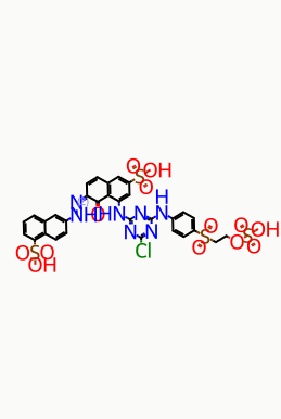 O=C1/C(=N\Nc2ccc3c(S(=O)(=O)O)cccc3c2)C=Cc2cc(S(=O)(=O)O)cc(Nc3nc(Cl)nc(Nc4ccc(S(=O)(=O)CCOS(=O)(=O)O)cc4)n3)c21